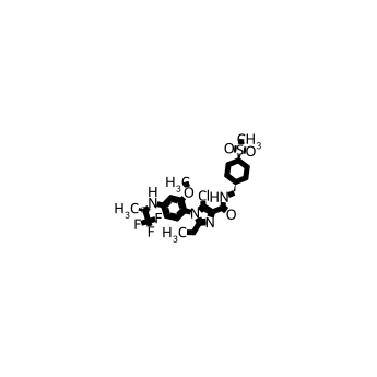 CCc1nc(C(=O)NC[C@H]2CC[C@H](S(C)(=O)=O)CC2)c(Cl)n1-c1ccc(N[C@H](C)C(F)(F)F)cc1OC